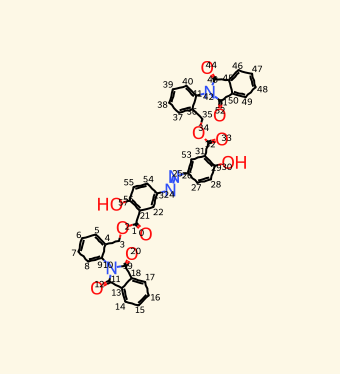 O=C(OCc1ccccc1N1C(=O)c2ccccc2C1=O)c1cc(/N=N/c2ccc(O)c(C(=O)OCc3ccccc3N3C(=O)c4ccccc4C3=O)c2)ccc1O